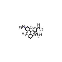 CC/N=c1/cc2oc3cc(NCC)cc(C)c3c(-c3ccccc3C(=O)O)c-2c(C)c1